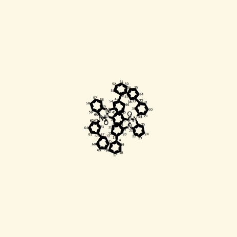 O=P1(c2ccc(P3(=O)N(c4cccc(-c5ccccc5)c4)c4ccccc4N3c3cccc(-c4ccccc4)c3)cc2)N(c2cccc(-c3ccccc3)c2)c2ccccc2N1c1cccc(-c2ccccc2)c1